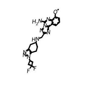 COc1cccc2c1nc(N)n1nc(CNC3CCc4c(nnn4C4CC(F)(F)C4)C3)nc21